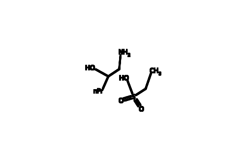 CCCC(O)CN.CCS(=O)(=O)O